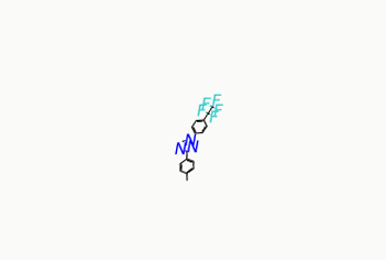 Cc1ccc(-c2ncn(-c3ccc(C(F)(F)C(F)(F)F)cc3)n2)cc1